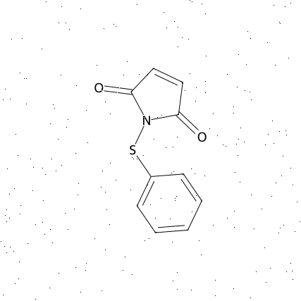 O=C1C=CC(=O)N1Sc1ccccc1